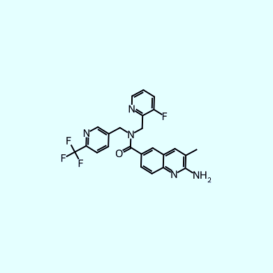 Cc1cc2cc(C(=O)N(Cc3ccc(C(F)(F)F)nc3)Cc3ncccc3F)ccc2nc1N